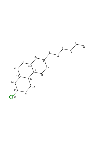 CCCCCCC1CCC2C(CCC3CC(Cl)CCC32)C1